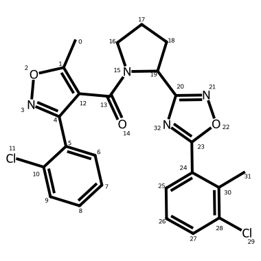 Cc1onc(-c2ccccc2Cl)c1C(=O)N1CCCC1c1noc(-c2cccc(Cl)c2C)n1